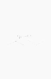 CCCCCC.N#CO